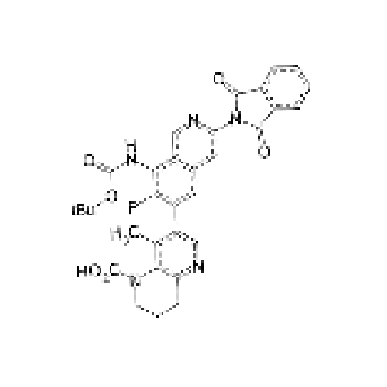 Cc1c(-c2cc3cc(N4C(=O)c5ccccc5C4=O)ncc3c(NC(=O)OC(C)(C)C)c2F)cnc2c1N(C(=O)O)CCC2